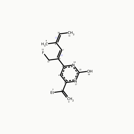 C=C(CC)c1cc(/C(=C/C(C)=C\C)CF)nc(O)n1